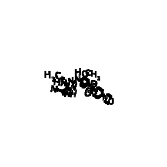 CCNc1nc(Nc2ccc(S(=O)(=O)N3CCC(N4CCOCC4)CC3)cc2OC)nc2[nH]cc(C#N)c12